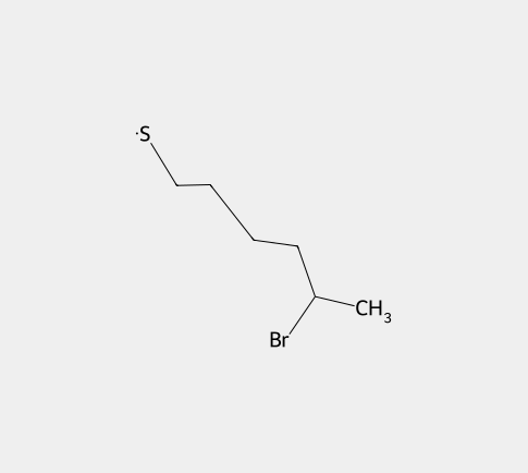 CC(Br)CCCC[S]